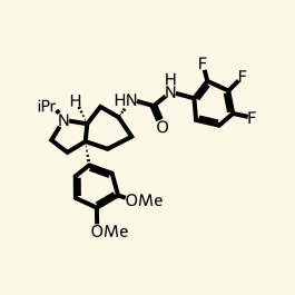 COc1ccc([C@@]23CC[C@@H](NC(=O)Nc4ccc(F)c(F)c4F)C[C@@H]2N(C(C)C)CC3)cc1OC